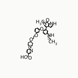 CCSNc1ccc(Oc2cccc(OCCOC3CCN(c4ccc(C(=O)O)cn4)CC3)c2)c(-c2cn(C)c(=O)c3[nH]ccc23)c1